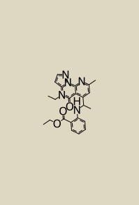 CCOC(=O)c1ccccc1NC(C)c1cc(C)nc2c1c(=O)n(CC)c1ccnn21